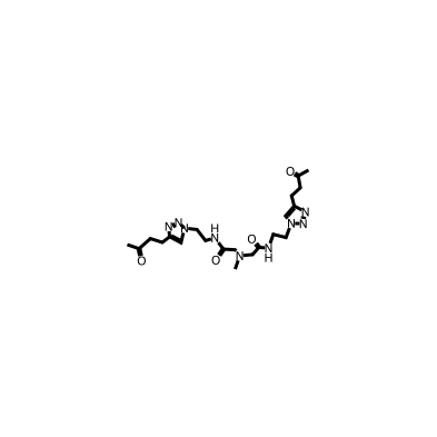 CC(=O)CCc1cn(CCNC(=O)CN(C)CC(=O)NCCn2cc(CCC(C)=O)nn2)nn1